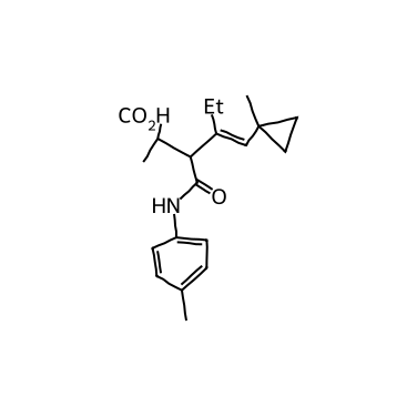 CCC(=CC1(C)CC1)C(C(=O)Nc1ccc(C)cc1)C(C)C(=O)O